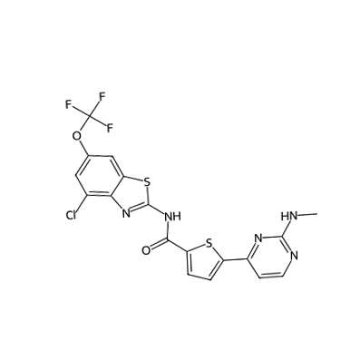 CNc1nccc(-c2ccc(C(=O)Nc3nc4c(Cl)cc(OC(F)(F)F)cc4s3)s2)n1